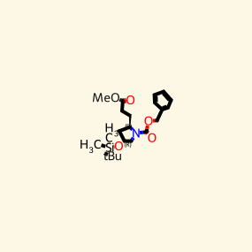 COC(=O)CC[C@@H]1C[C@@H](O[Si](C)(C)C(C)(C)C)CN1C(=O)OCc1ccccc1